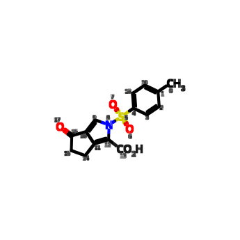 Cc1ccc(S(=O)(=O)n2cc3c(c2C(=O)O)CCC3=O)cc1